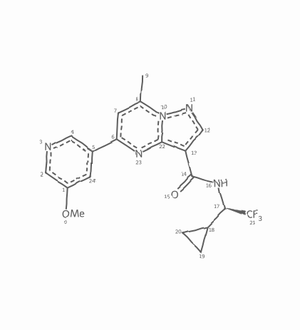 COc1cncc(-c2cc(C)n3ncc(C(=O)N[C@H](C4CC4)C(F)(F)F)c3n2)c1